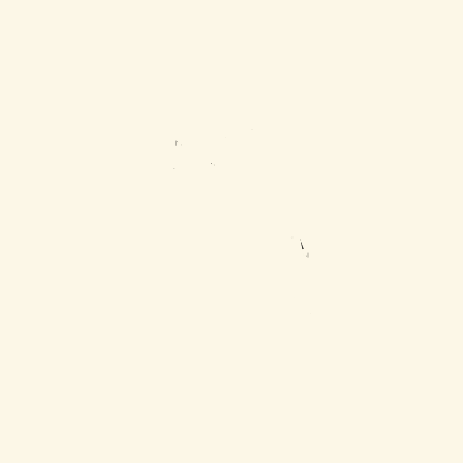 O=C1CN(c2c(O)cc3c(c2F)C[C@H](NCC2CC2(F)F)CS3)S(=O)(=O)N1